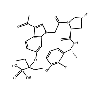 CCC(CC)(Oc1ccc2c(C(C)=O)cn(CC(=O)N3C[C@H](F)C[C@H]3C(=O)N[C@H](C)c3cccc(Cl)c3F)c2c1)P(=O)(O)O